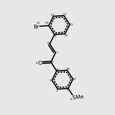 CSc1ccc(C(=O)/C=C/c2ccccc2Br)cc1